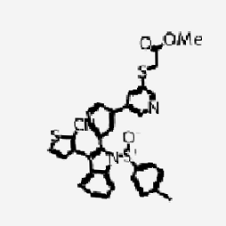 COC(=O)CSc1cncc(-c2cccc(-c3c(-c4ccsc4C#N)c4ccccc4n3[S+]([O-])c3ccc(C)cc3)c2)c1